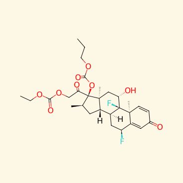 CCCOC(=O)O[C@]1(C(=O)COC(=O)OCC)[C@H](C)C[C@H]2[C@@H]3C[C@H](F)C4=CC(=O)C=C[C@]4(C)[C@@]3(F)[C@@H](O)C[C@@]21C